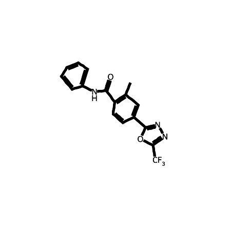 Cc1cc(-c2nnc(C(F)(F)F)o2)ccc1C(=O)Nc1ccccc1